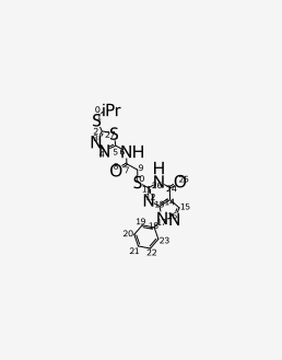 CC(C)Sc1nnc(NC(=O)CSc2nc3c(cnn3-c3ccccc3)c(=O)[nH]2)s1